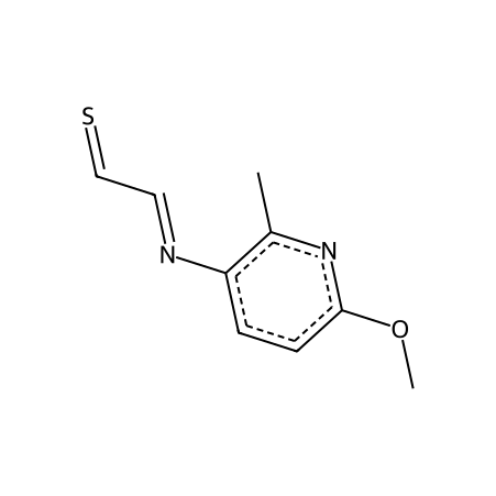 COc1ccc(N=CC=S)c(C)n1